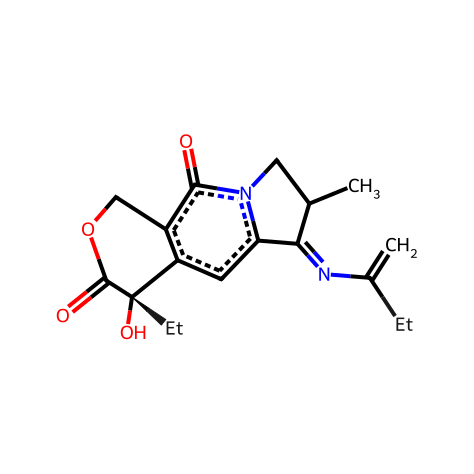 C=C(CC)/N=C1/c2cc3c(c(=O)n2CC1C)COC(=O)[C@]3(O)CC